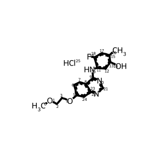 COCCOc1ccc2c(Nc3cc(O)c(C)cc3F)ncnc2c1.Cl